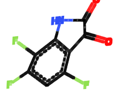 O=C1Nc2c(F)c(F)cc(F)c2C1=O